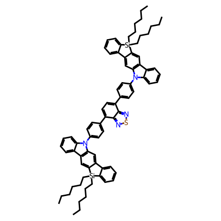 CCCCCC[Si]1(CCCCCC)c2ccccc2-c2cc3c(cc21)c1ccccc1n3-c1ccc(-c2ccc(-c3ccc(-n4c5ccccc5c5cc6c(cc54)-c4ccccc4[Si]6(CCCCCC)CCCCCC)cc3)c3nsnc23)cc1